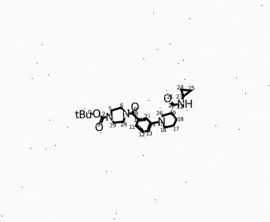 CC(C)(C)OC(=O)N1CCN(C(=O)c2cccc(N3CCC[C@@H](C(=O)NC4CC4)C3)c2)CC1